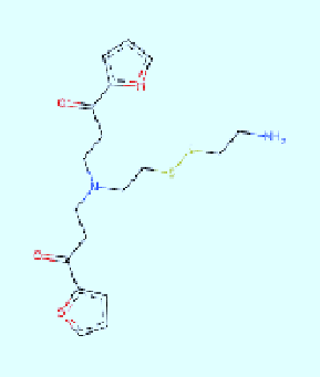 NCCSSCCN(CCC(=O)c1ccco1)CCC(=O)c1ccco1